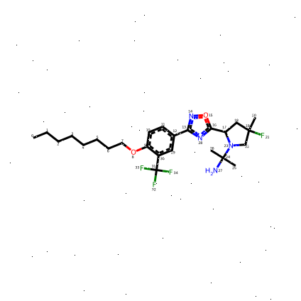 CCCCCCCCOc1ccc(-c2noc(C3CC(C)(F)CN3C(C)(C)N)n2)cc1C(F)(F)F